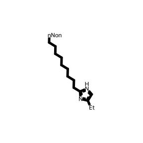 CCCCCCCCCCCCCCCCCCc1nc(CC)c[nH]1